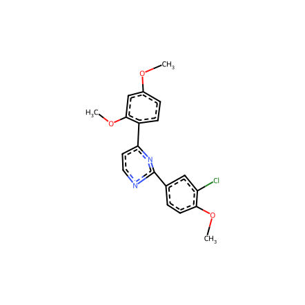 COc1ccc(-c2ccnc(-c3ccc(OC)c(Cl)c3)n2)c(OC)c1